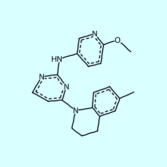 COc1ccc(Nc2nccc(N3CCCc4cc(C)ccc43)n2)cn1